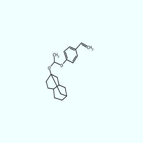 C=Cc1ccc(OC(C)OC23CCC4CCC(CC4C2)C3)cc1